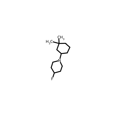 CC1(C)[CH]CCC(N2CCC(F)CC2)C1